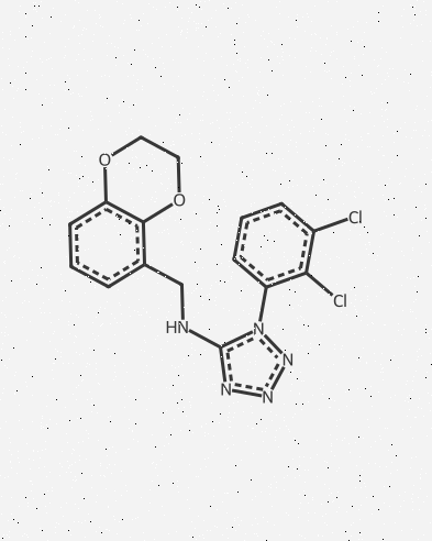 Clc1cccc(-n2nnnc2NCc2cccc3c2OCCO3)c1Cl